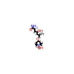 CC(C)C(COC1CC(C)(C)N(O)C(C)(C)C1)CC(O)/C=C/C(N)=O